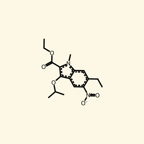 CCOC(=O)c1c(OC(C)C)c2cc([N+](=O)[O-])c(CC)cc2n1C